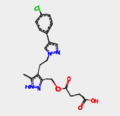 Cc1[nH]nc(COC(=O)CCC(=O)O)c1CCn1cc(-c2ccc(Cl)cc2)cn1